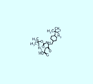 CC(C)(C)OC(=O)N[C@@H](CC1CCC(C(C)(C)C)CC1)C(=O)CC(=O)O